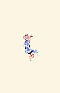 CCOC(=O)c1cnc(N2CCN(c3ncc(CN(C(=O)OC(C)(C)C)C(=O)OC(C)(C)C)cn3)CC2)nc1N